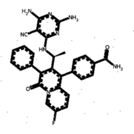 C[C@H](Nc1nc(N)nc(N)c1C#N)c1c(-c2ccccc2)c(=O)n2cc(F)ccc2c1-c1ccc(C(N)=O)cc1